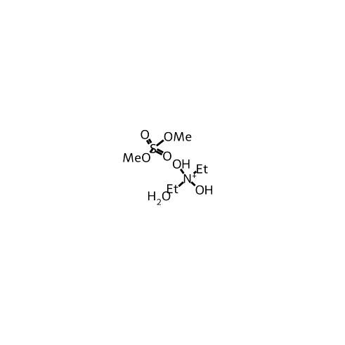 CC[N+](O)(O)CC.COS(=O)(=O)OC.O